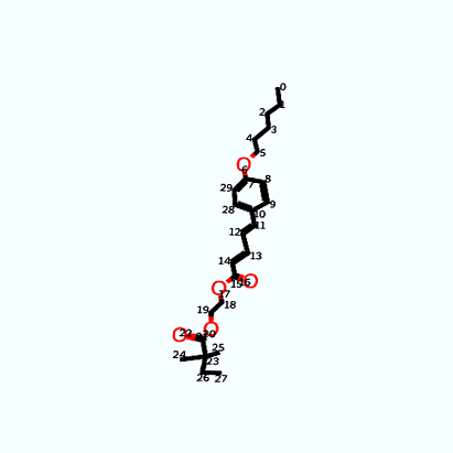 CCCCCCOc1ccc(/C=C/C=C/C(=O)OCCOC(=O)C(C)(C)CC)cc1